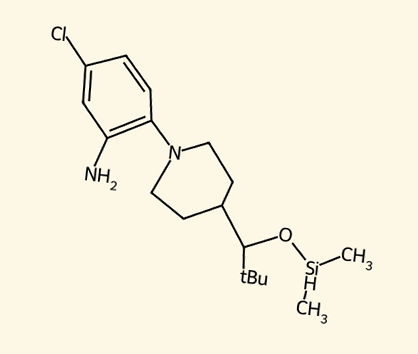 C[SiH](C)OC(C1CCN(c2ccc(Cl)cc2N)CC1)C(C)(C)C